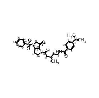 CC(CCNC(=O)c1ccc(N(C)C)cc1)CC(=O)N1CCC2C1C(=O)CN2S(=O)(=O)c1cccnc1